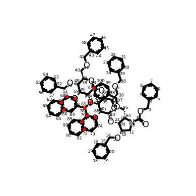 O=C(OCc1ccccc1)N1C[C@H](OCc2ccccc2)[C@H](O[C@H]2O[C@H](COCc3ccccc3)[C@@H](O[C@@H]3O[C@H](COCc4ccccc4)[C@@H](OCc4ccccc4)[C@H](OCc4ccccc4)[C@H]3OCc3ccccc3)[C@H](OCc3ccccc3)[C@H]2OCc2ccccc2)[C@@H]1COCc1ccccc1